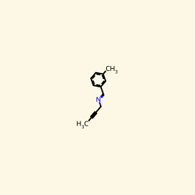 CC#CC/N=C/c1cccc(C)c1